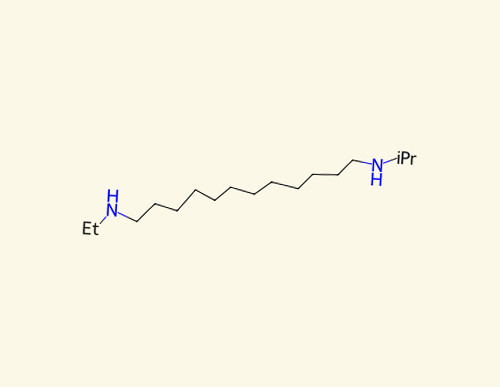 CCNCCCCCCCCCCCCNC(C)C